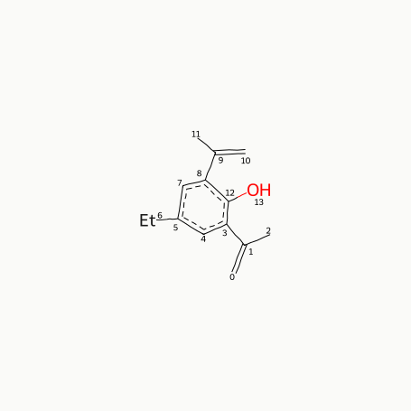 C=C(C)c1cc(CC)cc(C(=C)C)c1O